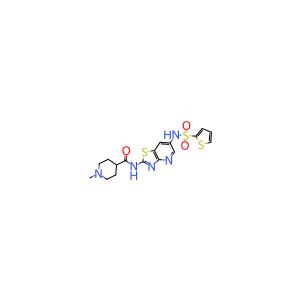 CN1CCC(C(=O)Nc2nc3ncc(NS(=O)(=O)c4cccs4)cc3s2)CC1